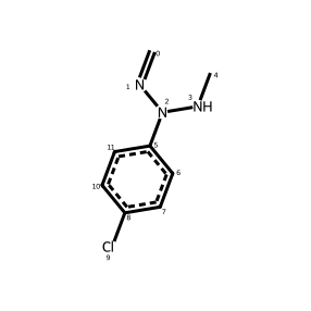 C=NN(NC)c1ccc(Cl)cc1